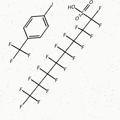 FC(F)(F)c1ccc(I)cc1.O=S(=O)(O)C(F)(F)C(F)(F)C(F)(F)C(F)(F)C(F)(F)C(F)(F)C(F)(F)C(F)(F)F